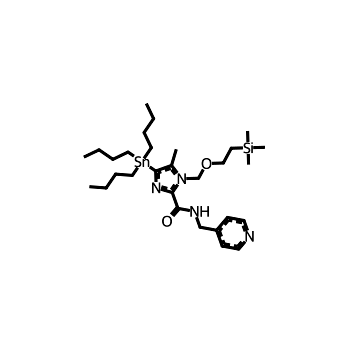 CCC[CH2][Sn]([CH2]CCC)([CH2]CCC)[c]1nc(C(=O)NCc2ccncc2)n(COCC[Si](C)(C)C)c1C